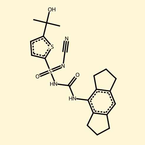 CC(C)(O)c1ccc(S(=O)(=NC#N)NC(=O)Nc2c3c(cc4c2CCC4)CCC3)s1